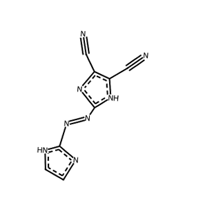 N#Cc1nc(N=Nc2ncc[nH]2)[nH]c1C#N